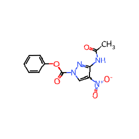 CC(=O)Nc1nn(C(=O)Oc2ccccc2)cc1[N+](=O)[O-]